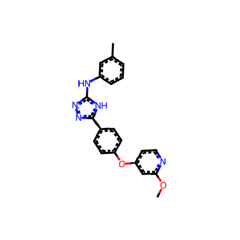 COc1cc(Oc2ccc(-c3nnc(Nc4cccc(C)c4)[nH]3)cc2)ccn1